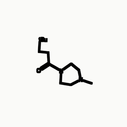 CN1CCN(C(=O)CCC(C)(C)C)CC1